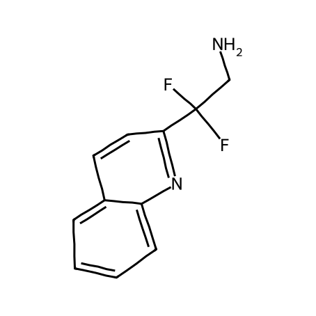 NCC(F)(F)c1ccc2ccccc2n1